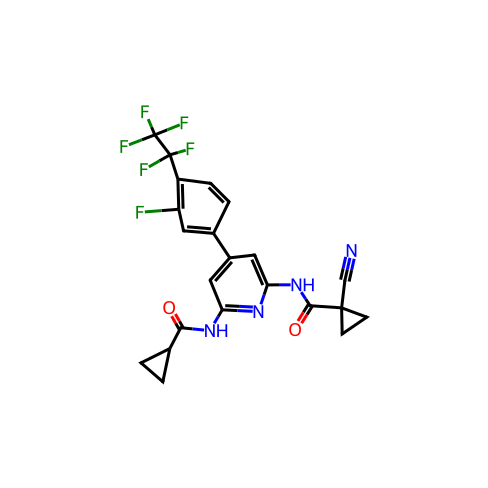 N#CC1(C(=O)Nc2cc(-c3ccc(C(F)(F)C(F)(F)F)c(F)c3)cc(NC(=O)C3CC3)n2)CC1